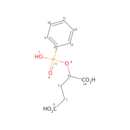 O=C(O)CCC(OP(=O)(O)c1ccccc1)C(=O)O